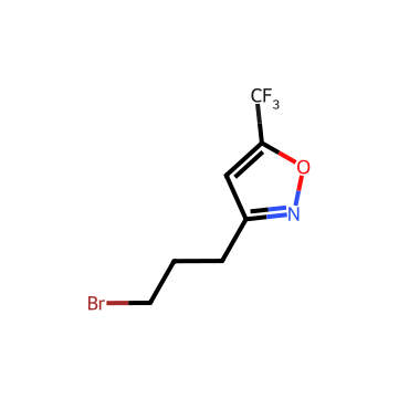 FC(F)(F)c1cc(CCCBr)no1